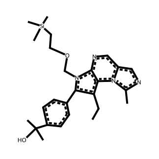 CCc1c(-c2ccc(C(C)(C)O)cc2)n(COCC[Si](C)(C)C)c2ncc3cnc(C)n3c12